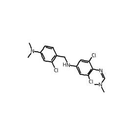 CN(C)/C=N\c1c(Cl)cc(NCc2ccc(N(C)C)cc2Cl)cc1Cl